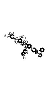 CC(C)c1ccccc1[C@@H]1CCCN1C1CC2(CCN(c3ccc(C(=O)NS(=O)(=O)c4cc5c(c([N+](=O)[O-])c4)O[C@H]([C@H]4CC[C@](C)(O)CC4)CO5)c(Oc4cnc5[nH]ccc5c4)c3)CC2)C1